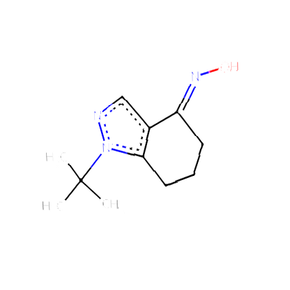 CC(C)(C)n1ncc2c1CCCC2=NO